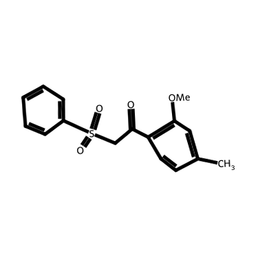 COc1cc(C)ccc1C(=O)CS(=O)(=O)c1ccccc1